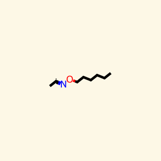 C/[C]=N/OCCCCCC